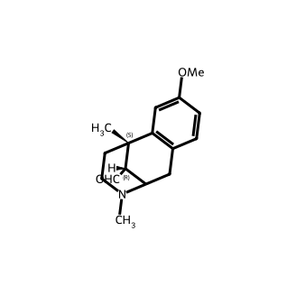 COc1ccc2c(c1)[C@@]1(C)CCN(C)C(C2)[C@@H]1C=O